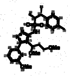 COCCC(OC)n1c(NS(=O)(=O)[C@@H](C)[C@H](C)c2cnc(C)cn2)nnc1-c1cccc(OC)n1